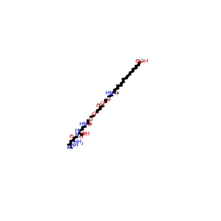 N[C@@H](Cc1cnc[nH]1)C(=O)CN[C@@H](CCCCNC(=O)COCCOCCCC(=O)COCCOCCNC(=O)CCCCCCCCCCCCCCCCC(=O)O)C(=O)O